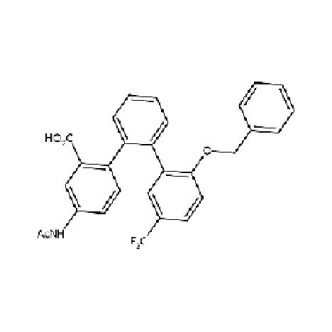 CC(=O)Nc1ccc(-c2ccccc2-c2cc(C(F)(F)F)ccc2OCc2ccccc2)c(C(=O)O)c1